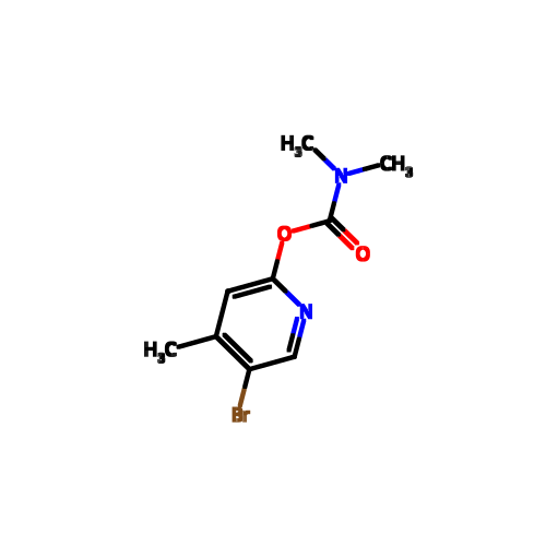 Cc1cc(OC(=O)N(C)C)ncc1Br